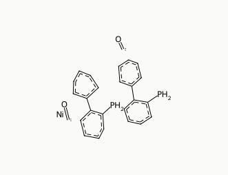 Pc1ccccc1-c1ccccc1.Pc1ccccc1-c1ccccc1.[C]=O.[C]=O.[Ni]